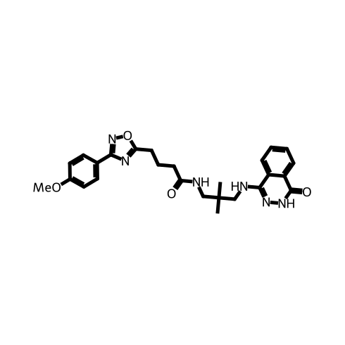 COc1ccc(-c2noc(CCCC(=O)NCC(C)(C)CNc3n[nH]c(=O)c4ccccc34)n2)cc1